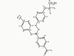 C=C(C)c1ccc(N(CCc2ccc(OC(C)(C)C(=O)OCC)cc2)Cc2ccc(C(F)(F)F)cc2)nc1